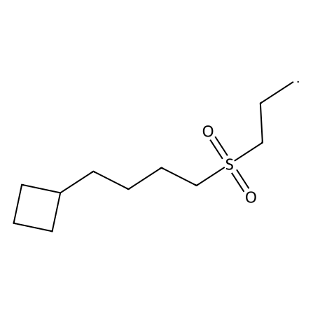 [CH2]CCS(=O)(=O)CCCCC1CCC1